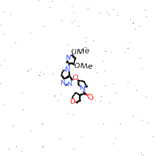 COc1cc(OC)c(N2CCc3ncnc(OC4CCN(C(=O)C5CCOCC5)C4)c3C2)cn1